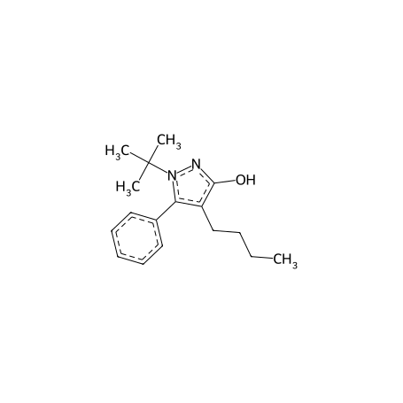 CCCCc1c(O)nn(C(C)(C)C)c1-c1ccccc1